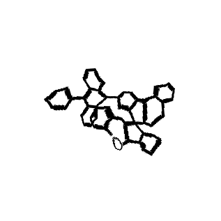 c1ccc(-c2c3ccccc3c(-c3ccc4c(c3)C3(c5ccccc5-c5oc6ccccc6c53)c3ccc5ccccc5c3-4)c3ccccc23)cc1